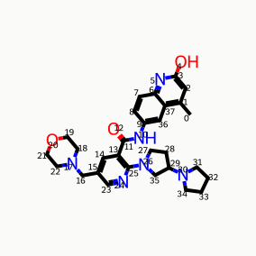 Cc1cc(O)nc2ccc(NC(=O)c3cc(CN4CCOCC4)cnc3N3CCC(N4CCCC4)C3)cc12